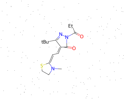 CCC(=O)N1N=C(C(C)(C)C)/C(=C\C=C2\SCCN2C)C1=O